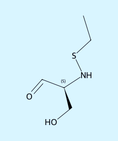 CCSN[C@H](C=O)CO